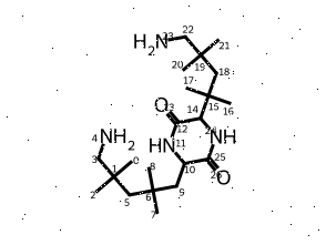 CC(C)(CN)CC(C)(C)CC1NC(=O)C(C(C)(C)CC(C)(C)CN)NC1=O